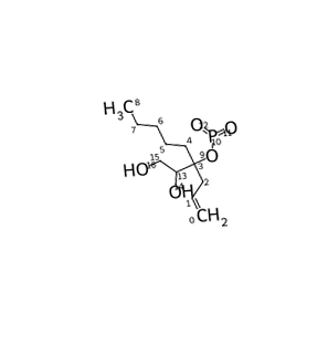 C=CCC(CCCCC)(OP(=O)=O)C(O)CO